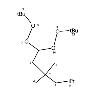 CC(C)CC(C)(C)CC(OOC(C)(C)C)OOC(C)(C)C